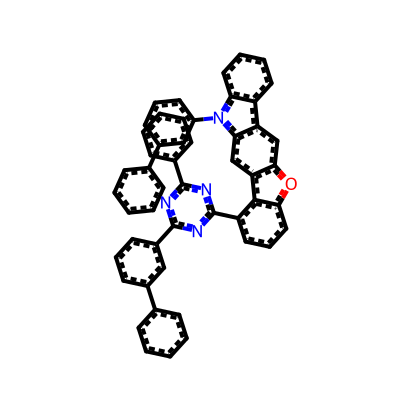 c1ccc(-c2cccc(-c3nc(-c4ccccc4)nc(-c4cccc5oc6cc7c8ccccc8n(-c8cccc(-c9ccccc9)c8)c7cc6c45)n3)c2)cc1